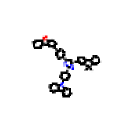 CC1(C)c2ccccc2-c2ccc(-c3cc(-c4ccc(-c5ccc6oc7ccccc7c6c5)cc4)nc(-c4ccc(-n5c6ccccc6c6ccccc65)cc4)n3)cc21